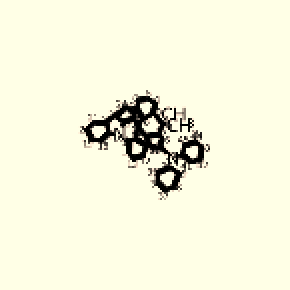 CC1(C)c2ccccc2C2(c3ccccc3-n3c4ccccc4c4cccc2c43)c2ccc(N(c3ccccc3)c3ccccc3)cc21